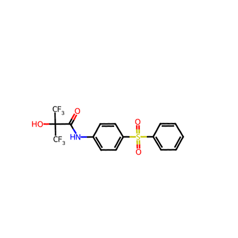 O=C(Nc1ccc(S(=O)(=O)c2ccccc2)cc1)C(O)(C(F)(F)F)C(F)(F)F